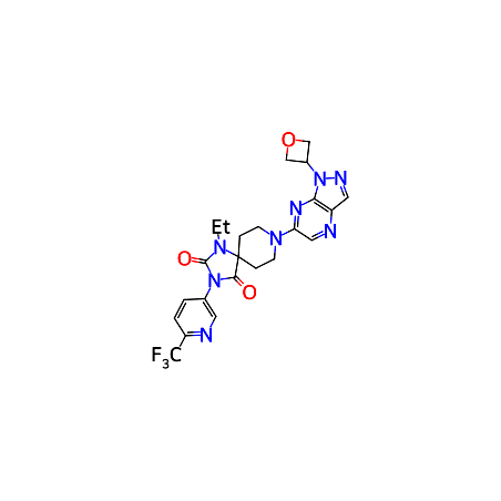 CCN1C(=O)N(c2ccc(C(F)(F)F)nc2)C(=O)C12CCN(c1cnc3cnn(C4COC4)c3n1)CC2